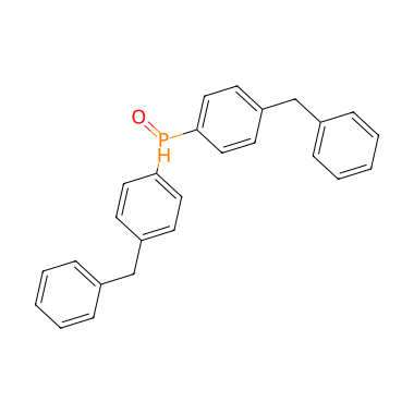 O=[PH](c1ccc(Cc2ccccc2)cc1)c1ccc(Cc2ccccc2)cc1